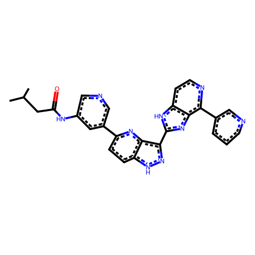 CC(C)CC(=O)Nc1cncc(-c2ccc3[nH]nc(-c4nc5c(-c6cccnc6)nccc5[nH]4)c3n2)c1